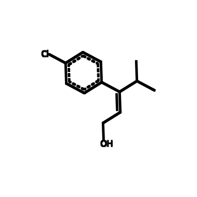 CC(C)/C(=C/CO)c1ccc(Cl)cc1